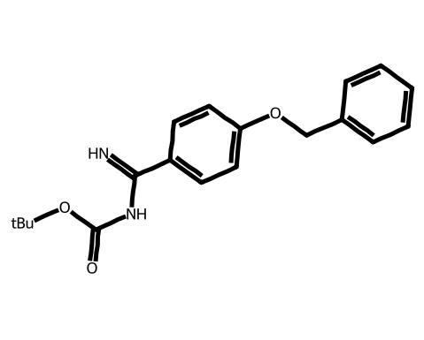 CC(C)(C)OC(=O)NC(=N)c1ccc(OCc2ccccc2)cc1